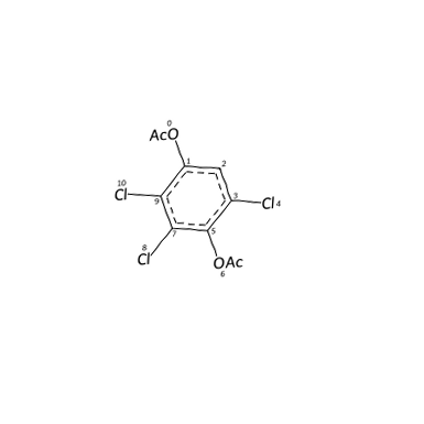 CC(=O)Oc1cc(Cl)c(OC(C)=O)c(Cl)c1Cl